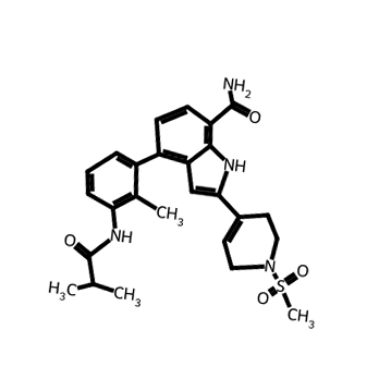 Cc1c(NC(=O)C(C)C)cccc1-c1ccc(C(N)=O)c2[nH]c(C3=CCN(S(C)(=O)=O)CC3)cc12